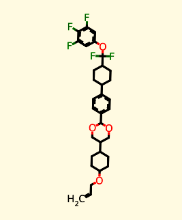 C=CCOC1CCC(C2COC(c3ccc(C4CCC(C(F)(F)Oc5cc(F)c(F)c(F)c5)CC4)cc3)OC2)CC1